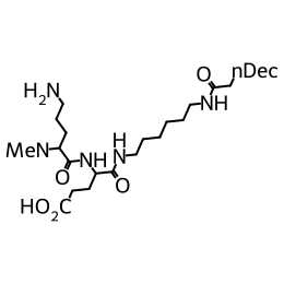 CCCCCCCCCCCC(=O)NCCCCCCNC(=O)C(CCC(=O)O)NC(=O)C(CCCN)NC